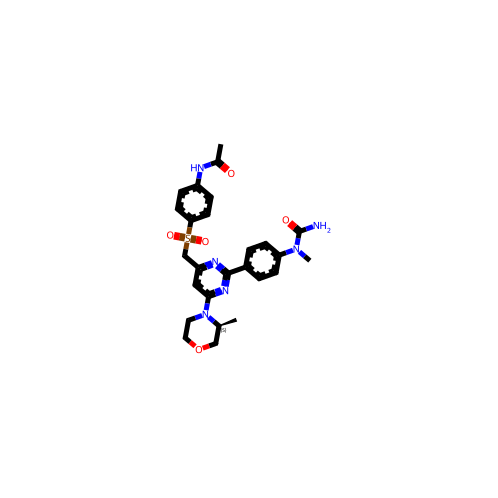 CC(=O)Nc1ccc(S(=O)(=O)Cc2cc(N3CCOC[C@@H]3C)nc(-c3ccc(N(C)C(N)=O)cc3)n2)cc1